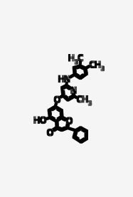 Cc1cc(Oc2cc(O)c3c(=O)cc(-c4ccccc4)oc3c2)cc(Nc2ccc(C)c(C)c2)n1